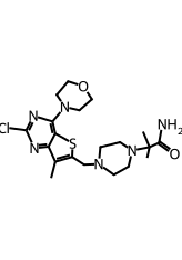 Cc1c(CN2CCN(C(C)(C)C(N)=O)CC2)sc2c(N3CCOCC3)nc(Cl)nc12